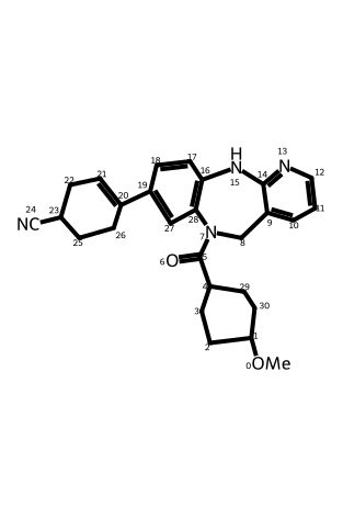 COC1CCC(C(=O)N2Cc3cccnc3Nc3ccc(C4=CCC(C#N)CC4)cc32)CC1